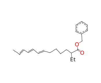 CC=CC=CC=CCCCCC(CC)C(=O)OCc1ccccc1